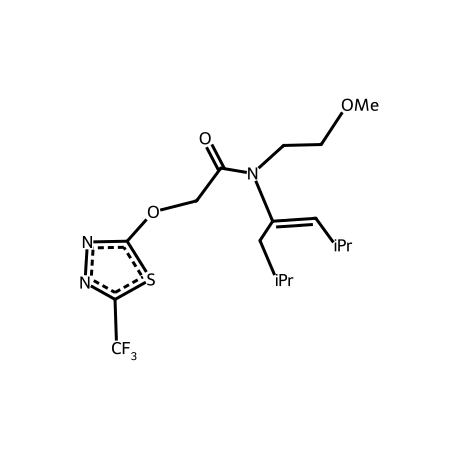 COCCN(C(=O)COc1nnc(C(F)(F)F)s1)C(=CC(C)C)CC(C)C